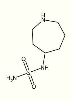 NS(=O)(=O)NC1CCCNCC1